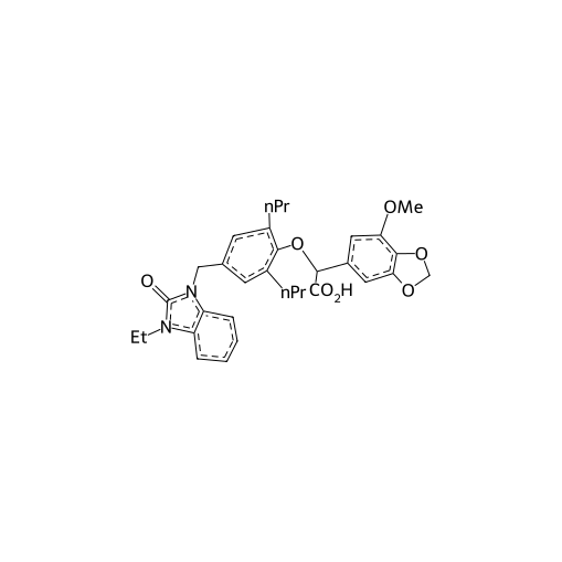 CCCc1cc(Cn2c(=O)n(CC)c3ccccc32)cc(CCC)c1OC(C(=O)O)c1cc(OC)c2c(c1)OCO2